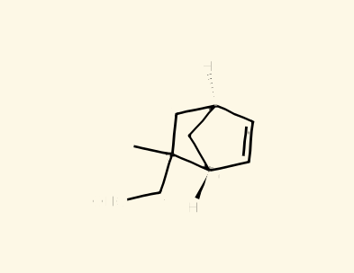 CC1(CC=O)C[C@H]2C=C[C@H]1C2